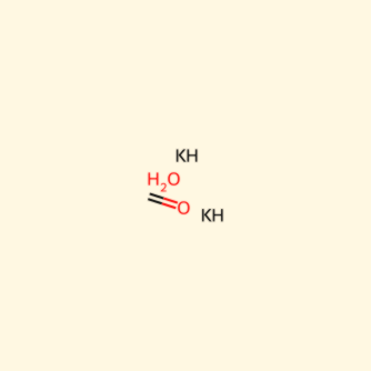 C=O.O.[KH].[KH]